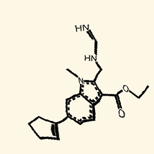 CCOC(=O)c1c(CNC=N)n(C)c2cc(C3=CCCC3)ccc12